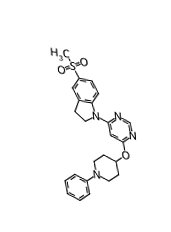 CS(=O)(=O)c1ccc2c(c1)CCN2c1cc(OC2CCN(c3ccccc3)CC2)ncn1